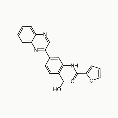 O=C(Nc1cc(-c2cnc3ccccc3n2)ccc1CO)c1ccco1